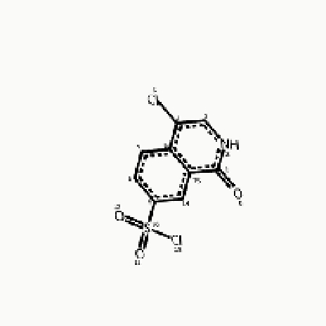 O=c1[nH]cc(Cl)c2ccc(S(=O)(=O)Cl)cc12